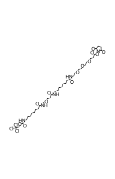 O=C(CCCCCCCNC(=O)CCOCNC(=O)CCCCCCCNC(=O)OCC(Cl)(Cl)Cl)NCCOCCOCCOCCC(=O)ON1C(=O)CCC1=O